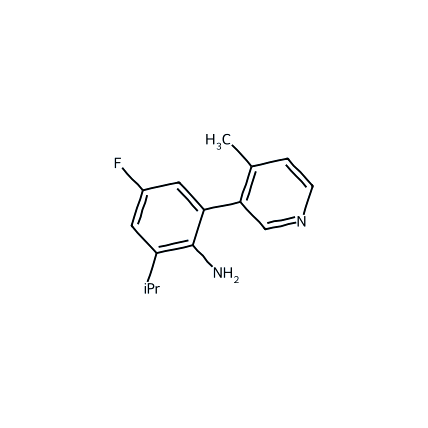 Cc1ccncc1-c1cc(F)cc(C(C)C)c1N